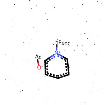 CC(=O)[O-].CCCCC[n+]1ccccc1